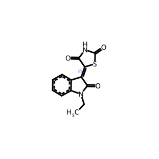 CCN1C(=O)/C(=C2\SC(=O)NC2=O)c2ccccc21